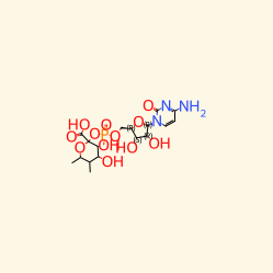 CC1OC(OP(=O)(O)OC[C@H]2O[C@@H](n3ccc(N)nc3=O)[C@H](O)[C@@H]2O)(C(=O)O)CC(O)C1C